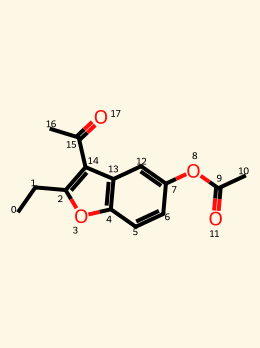 CCc1oc2ccc(OC(C)=O)cc2c1C(C)=O